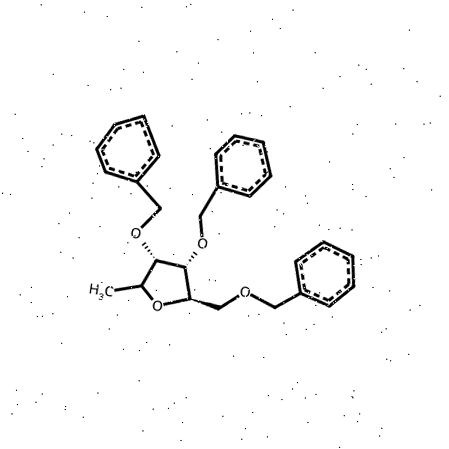 CC1O[C@H](COCc2ccccc2)[C@@H](OCc2ccccc2)[C@H]1OCc1ccccc1